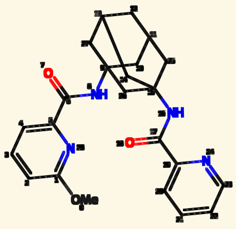 COc1cccc(C(=O)NC23CC4CC(CC(NC(=O)c5ccccn5)(C4)C2)C3)n1